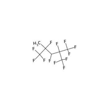 CC(F)(C(F)C(F)(C(F)(F)F)C(F)(F)F)C(F)(F)F